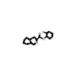 O=C(Oc1ccccc1F)c1cc2ccccc2cn1